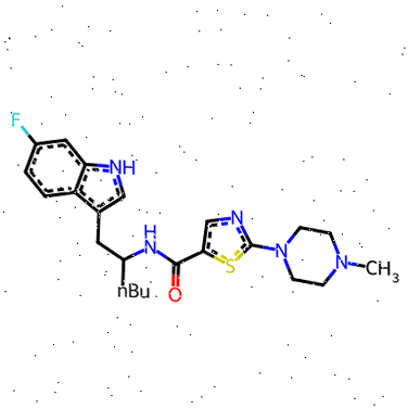 CCCCC(Cc1c[nH]c2cc(F)ccc12)NC(=O)c1cnc(N2CCN(C)CC2)s1